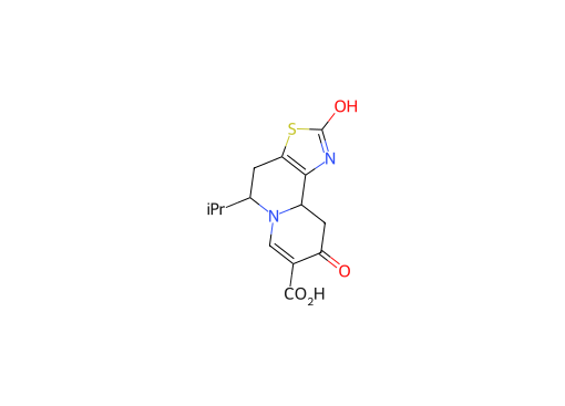 CC(C)C1Cc2sc(O)nc2C2CC(=O)C(C(=O)O)=CN21